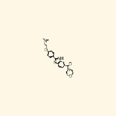 CN(C)CCOc1ccc(-c2nc3ccc(C(=O)N4CCOCC4)cc3[nH]2)cc1